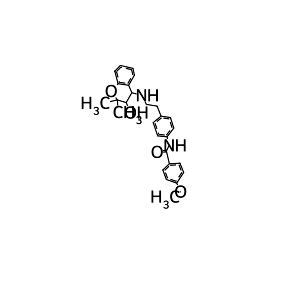 COc1ccc(C(=O)Nc2ccc(CCNC3c4ccccc4OC(C)(C)C3O)cc2)cc1